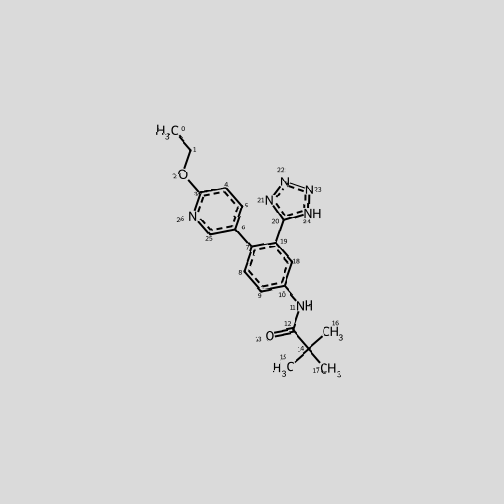 CCOc1ccc(-c2ccc(NC(=O)C(C)(C)C)cc2-c2nnn[nH]2)cn1